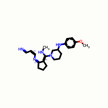 CN/C(=C1/CCC/C1=N/C=C\C=N)N1CCCC(Nc2ccc(OC)cc2)C1